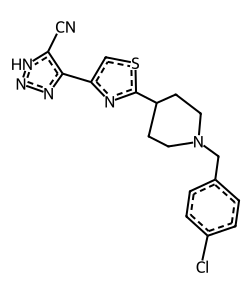 N#Cc1[nH]nnc1-c1csc(C2CCN(Cc3ccc(Cl)cc3)CC2)n1